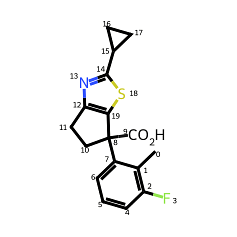 Cc1c(F)cccc1C1(C(=O)O)CCc2nc(C3CC3)sc21